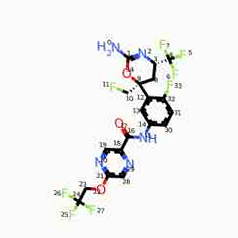 NC1=N[C@H](C(F)(F)F)C[C@@](CF)(c2cc(NC(=O)c3cnc(OCC(F)(F)F)cn3)ccc2F)O1